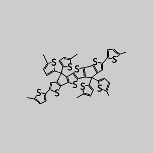 Cc1ccc(-c2cc3c(s2)-c2sc4c5c(sc4c2C3(c2ccc(C)s2)c2ccc(C)s2)-c2sc(-c3ccc(C)s3)cc2C5(c2ccc(C)s2)c2ccc(C)s2)s1